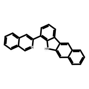 c1ccc2cc(-c3cccc4c3[nH]c3cc5ccccc5cc34)ncc2c1